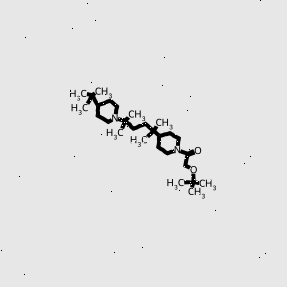 CC(C)(C)OCC(=O)N1CCC(C(C)(C)CCC(C)(C)N2CCC(C(C)(C)C)CC2)CC1